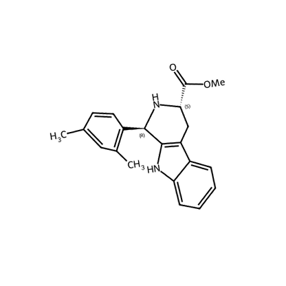 COC(=O)[C@@H]1Cc2c([nH]c3ccccc23)[C@@H](c2ccc(C)cc2C)N1